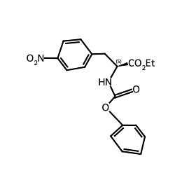 CCOC(=O)[C@H](Cc1ccc([N+](=O)[O-])cc1)NC(=O)Oc1ccccc1